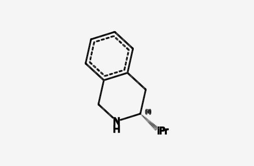 CC(C)[C@H]1Cc2ccccc2CN1